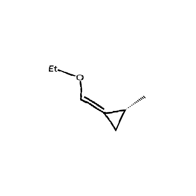 CCO/C=C1/C[C@H]1C